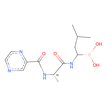 CC(C)CC(NC(=O)[C@H](C)NC(=O)c1cnccn1)B(O)O